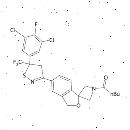 CCCCC(=O)N1CC2(C1)OCc1cc(C3=NSC(c4cc(Cl)c(F)c(Cl)c4)(C(F)(F)F)C3)ccc12